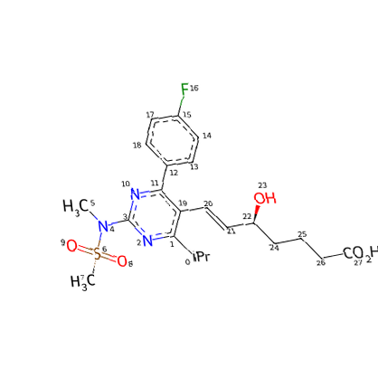 CC(C)c1nc(N(C)S(C)(=O)=O)nc(-c2ccc(F)cc2)c1C=C[C@@H](O)CCCC(=O)O